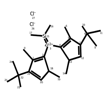 CC1=[C]([Zr+2]([C]2=C(C)C(C(C)(C)C)=CC2C)=[Si](C)C)C(C)C=C1C(C)(C)C.[Cl-].[Cl-]